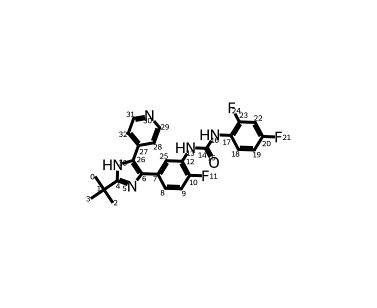 CC(C)(C)c1nc(-c2ccc(F)c(NC(=O)Nc3ccc(F)cc3F)c2)c(-c2ccncc2)[nH]1